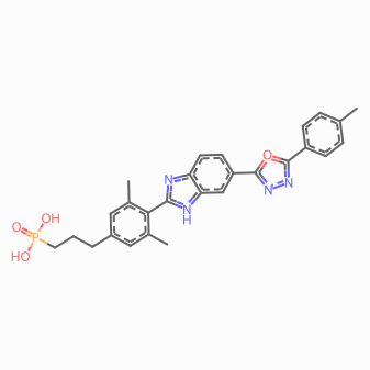 Cc1ccc(-c2nnc(-c3ccc4nc(-c5c(C)cc(CCCP(=O)(O)O)cc5C)[nH]c4c3)o2)cc1